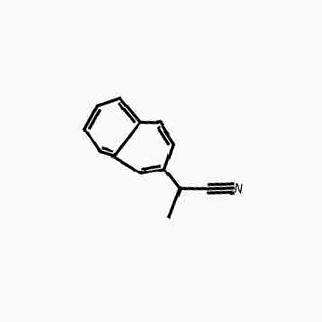 CC(C#N)c1ccc2ccccc2c1